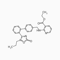 CCCn1oc(=O)nc1-c1ccccc1-c1ccc(CNc2ncccc2C(=O)OCC)cc1